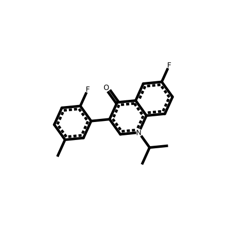 Cc1ccc(F)c(-c2cn(C(C)C)c3ccc(F)cc3c2=O)c1